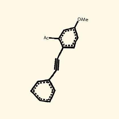 COc1ccc(C#Cc2ccccc2)c(C(C)=O)c1